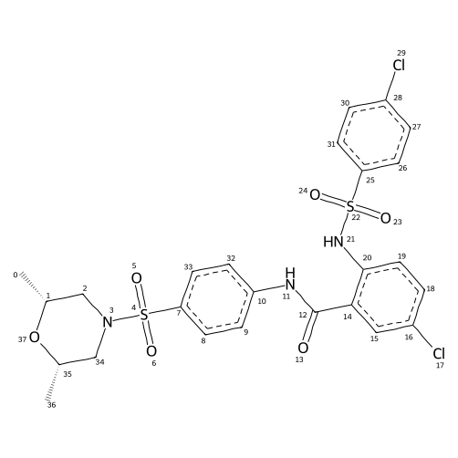 C[C@@H]1CN(S(=O)(=O)c2ccc(NC(=O)c3cc(Cl)ccc3NS(=O)(=O)c3ccc(Cl)cc3)cc2)C[C@H](C)O1